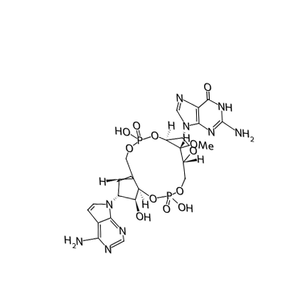 CO[C@H]1[C@H]2OP(=O)(O)OCC34CC[C@@H]3[C@@H](n3ccc5c(N)ncnc53)[C@H](O)[C@@H]4OP(=O)(O)OC[C@H]1O[C@H]2n1cnc2c(=O)[nH]c(N)nc21